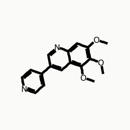 COc1cc2ncc(-c3ccncc3)cc2c(OC)c1OC